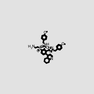 COc1ccc(CNS(=O)(=O)c2c(S(=O)(=O)CCN)ccc(-c3ccnc4c3CCCC4)c2-c2nnn(Cc3ccc(OC)cc3)n2)cc1